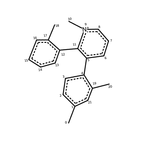 Cc1ccc(-c2ccc[n+](C)c2-c2ccccc2C)c(C)c1